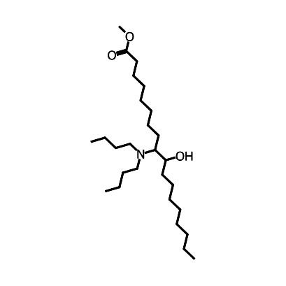 CCCCCCCCC(O)C(CCCCCCCC(=O)OC)N(CCCC)CCCC